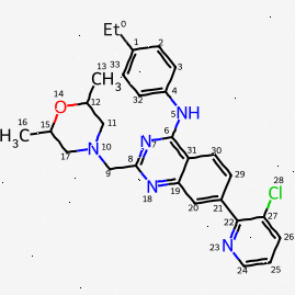 CCc1ccc(Nc2nc(CN3CC(C)OC(C)C3)nc3cc(-c4ncccc4Cl)ccc23)cc1